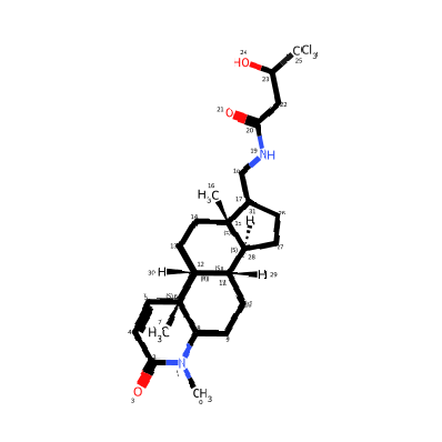 CN1C(=O)C=C[C@@]2(C)C1CC[C@@H]1[C@H]2CC[C@]2(C)C(CNC(=O)CC(O)C(Cl)(Cl)Cl)CC[C@@H]12